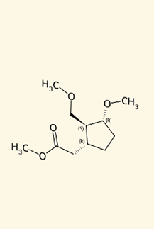 COC[C@@H]1[C@@H](CC(=O)OC)CC[C@H]1OC